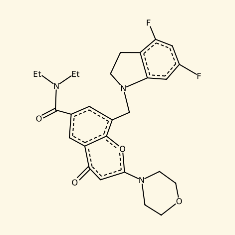 CCN(CC)C(=O)c1cc(CN2CCc3c(F)cc(F)cc32)c2oc(N3CCOCC3)cc(=O)c2c1